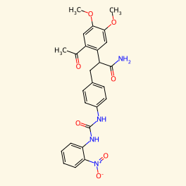 COc1cc(C(C)=O)c(C(Cc2ccc(NC(=O)Nc3ccccc3[N+](=O)[O-])cc2)C(N)=O)cc1OC